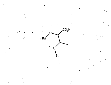 CCCCOC(C(=O)O)C(C)OCC